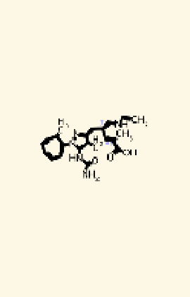 C=CN/C=C(\C=C(/C)C(=O)O)CC1=NN(C2=CC=CC=CC2C)C(NC(N)=O)C1C